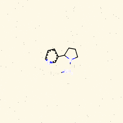 CCCCCN.CN1CCCC1c1cccnc1